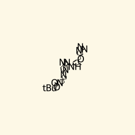 Cc1cc(Nc2ncnc3ccc(N4CCC5(CCN(C(=O)OC(C)(C)C)C5)C4)nc23)ccc1Oc1ccn2ncnc2c1